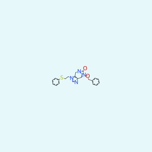 O=C1N2Cc3c(ncn3CCSc3ccccc3)C(C2)N1OCc1ccccc1